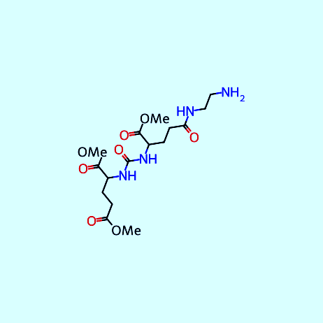 COC(=O)CCC(NC(=O)NC(CCC(=O)NCCN)C(=O)OC)C(=O)OC